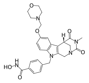 CN1C(=O)[C@@H]2CN(Cc3c2c2cc(OCN4CCOCC4)ccc2n3Cc2ccc(C(=O)NO)cc2)C1=O